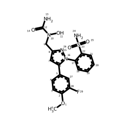 COc1ccc(-c2cc(CN(O)C(N)=O)nn2-c2ccccc2S(N)(=O)=O)cc1F